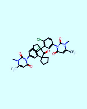 Cn1c(C(F)(F)F)cc(=O)n(-c2ccc(Cl)c(C3(C(=O)C4(c5cc(-n6c(=O)cc(C(F)(F)F)n(C)c6=O)ccc5Cl)CCCC4)CCCC3)c2)c1=O